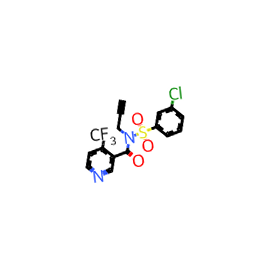 C#CCN(C(=O)c1cnccc1C(F)(F)F)S(=O)(=O)c1cccc(Cl)c1